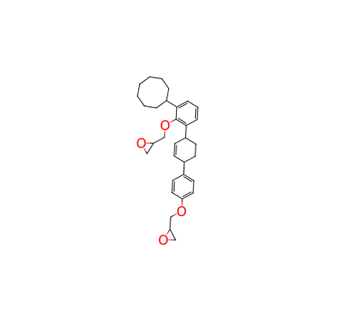 C1=CC(c2cccc(C3CCCCCCC3)c2OCC2CO2)CCC1c1ccc(OCC2CO2)cc1